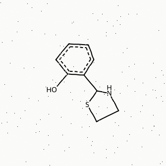 Oc1ccccc1C1NCCS1